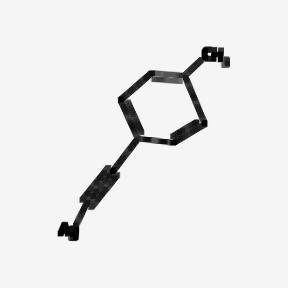 Cc1ccc(C#[C][Ag])cc1